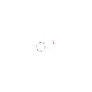 N#CC(C(N)=O)c1ccc(Br)cc1[N+](=O)[O-]